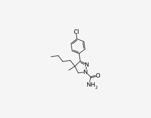 CCCCC1(C)CN(C(N)=O)N=C1c1ccc(Cl)cc1